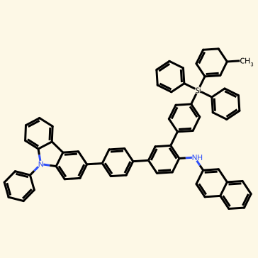 CC1C=C([Si](c2ccccc2)(c2ccccc2)c2ccc(-c3cc(-c4ccc(-c5ccc6c(c5)c5ccccc5n6-c5ccccc5)cc4)ccc3Nc3ccc4ccccc4c3)cc2)C=CC1